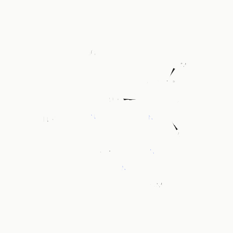 COc1nc2c(c(N3[C@H](C)C[C@H](OC)C[C@@H]3C)n1)CN(c1cc(C(C)C)ccc1C)CC2